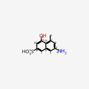 Cc1cc(N)cc2cc(S(=O)(=O)O)cc(O)c12